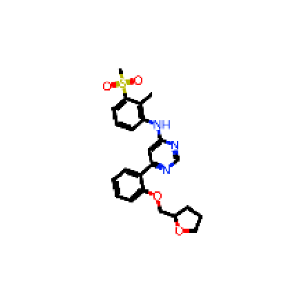 Cc1c(Nc2cc(-c3ccccc3OCC3CCCO3)ncn2)cccc1S(C)(=O)=O